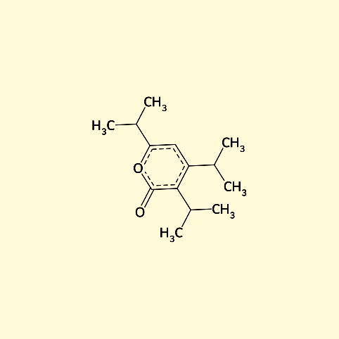 CC(C)c1cc(C(C)C)c(C(C)C)c(=O)o1